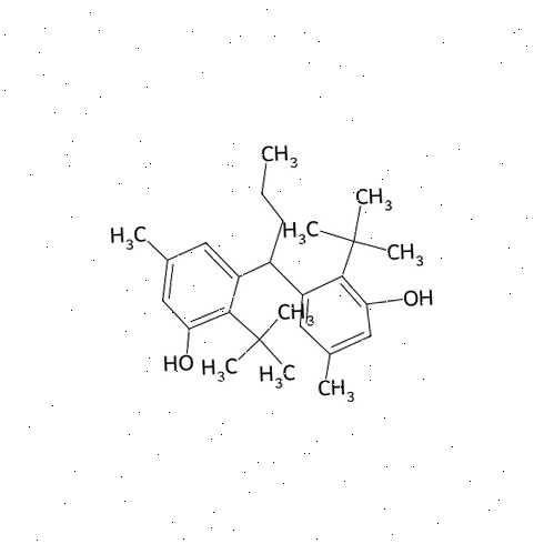 CCCC(c1cc(C)cc(O)c1C(C)(C)C)c1cc(C)cc(O)c1C(C)(C)C